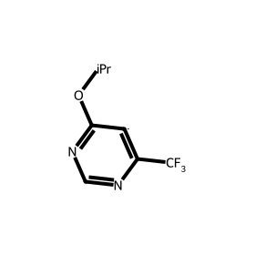 CC(C)Oc1[c]c(C(F)(F)F)ncn1